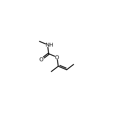 C/C=C(/C)OC(=O)NC